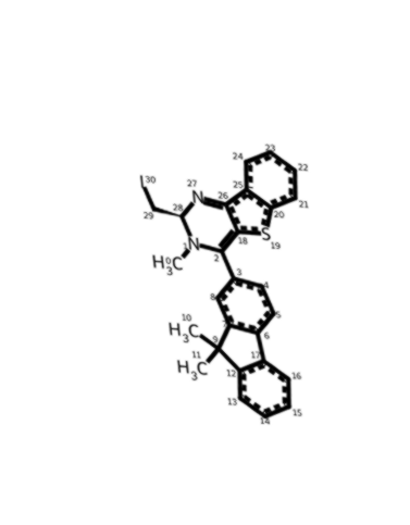 CN1C(c2ccc3c(c2)C(C)(C)c2ccccc2-3)=c2sc3ccccc3c2=N[C@@H]1CI